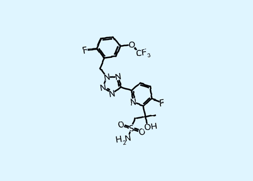 CC(O)(CS(N)(=O)=O)c1nc(-c2nnn(Cc3cc(OC(F)(F)F)ccc3F)n2)ccc1F